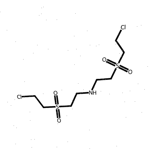 O=S(=O)(CCCl)CCNCCS(=O)(=O)CCCl